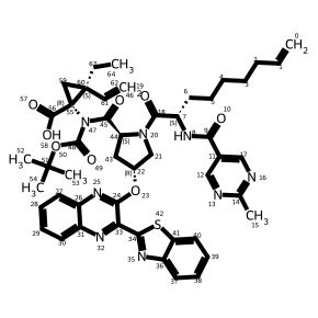 C=CCCCCC[C@H](NC(=O)c1cnc(C)nc1)C(=O)N1C[C@H](Oc2nc3ccccc3nc2-c2nc3ccccc3s2)C[C@H]1C(=O)N(C(=O)OC(C)(C)C)[C@]1(C(=O)O)C[C@]1(C=C)CC